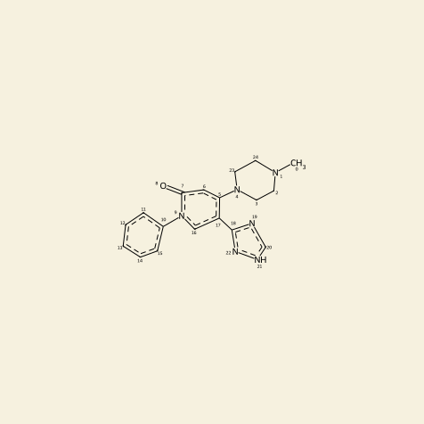 CN1CCN(c2cc(=O)n(-c3ccccc3)cc2-c2nc[nH]n2)CC1